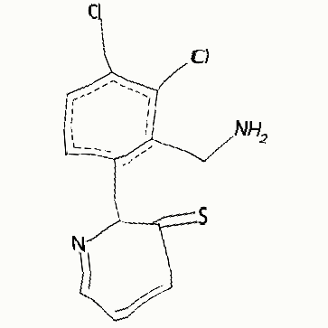 NCc1c(C2N=CC=CC2=S)ccc(Cl)c1Cl